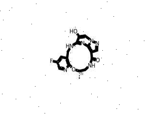 C[C@H]1CNC(=O)c2cnn3cc(O)c(nc23)NCc2cc(F)cnc2O1